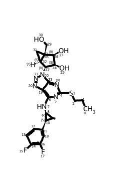 CCCSc1nc(N[C@@H]2C[C@H]2c2ccc(F)c(F)c2)c2nnn([C@H]3[C@H](O)[C@H](O)[C@@]4(CO)C[C@H]34)c2n1